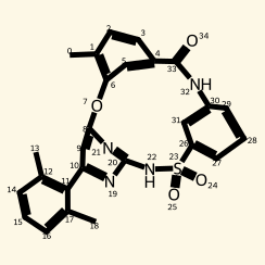 Cc1ccc2cc1Oc1cc(-c3c(C)cccc3C)nc(n1)NS(=O)(=O)c1cccc(c1)NC2=O